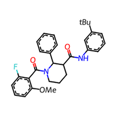 COc1cccc(F)c1C(=O)N1CCCC(C(=O)Nc2cccc(C(C)(C)C)c2)C1c1ccccc1